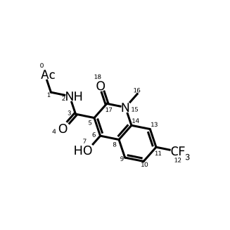 CC(=O)CNC(=O)c1c(O)c2ccc(C(F)(F)F)cc2n(C)c1=O